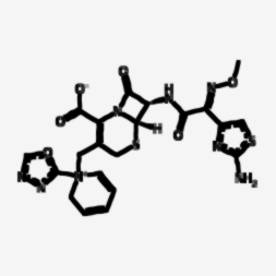 CON=C(C(=O)N[C@@H]1C(=O)N2C(C(=O)[O-])=C(C[N+]3(c4nnco4)C=CC=CC3)CS[C@@H]12)c1csc(N)n1